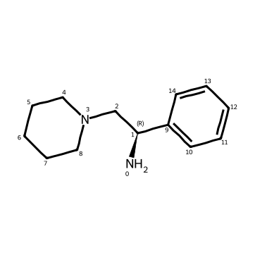 N[C@@H](CN1CCCCC1)c1ccccc1